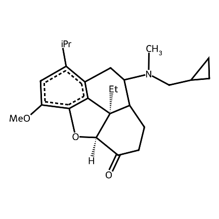 CC[C@@]12c3c4c(C(C)C)cc(OC)c3O[C@@H]1C(=O)CCC2C(N(C)CC1CC1)C4